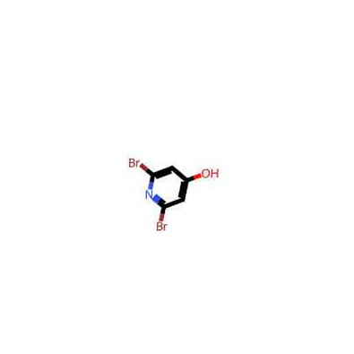 Oc1cc(Br)nc(Br)c1